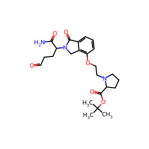 CC(C)(C)OC(=O)C1CCCN1CCOc1cccc2c1CN(C(CCC=O)C(N)=O)C2=O